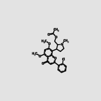 COc1cc(OC)c2c(=O)cc(-c3ccccc3Cl)oc2c1C1CCN(C)C1COC(C)=O